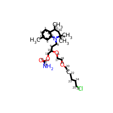 Cc1ccc2c(c1)N(CCC(COC(N)=O)OCCOCCCCCCCl)C(C)(C)CC2C